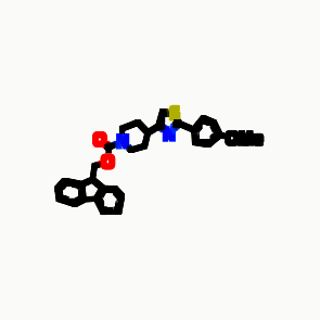 COc1ccc(-c2nc(C3CCN(C(=O)OCC4c5ccccc5-c5ccccc54)CC3)cs2)cc1